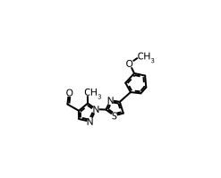 COc1cccc(-c2csc(-n3ncc(C=O)c3C)n2)c1